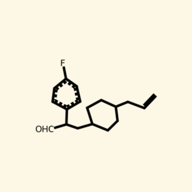 C=CCC1CCC(CC(C=O)c2ccc(F)cc2)CC1